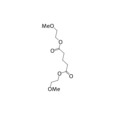 COCCOC(=O)CCCC(=O)OCCOC